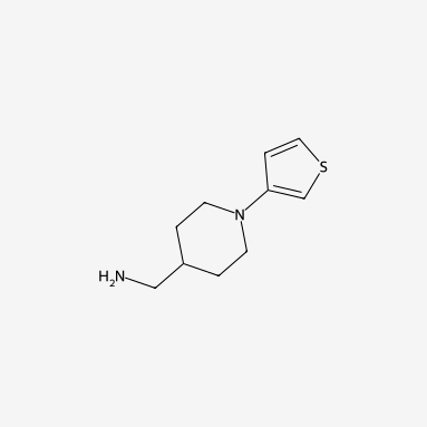 NCC1CCN(c2ccsc2)CC1